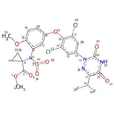 COC(=O)C1(N(c2cc(Oc3c(Cl)cc(-n4nc(C(F)F)c(=O)[nH]c4=O)cc3Cl)ccc2OC)[SH](=O)=O)CC1